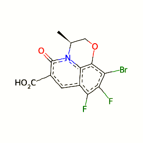 C[C@H]1COc2c(Br)c(F)c(F)c3cc(C(=O)O)c(=O)n1c23